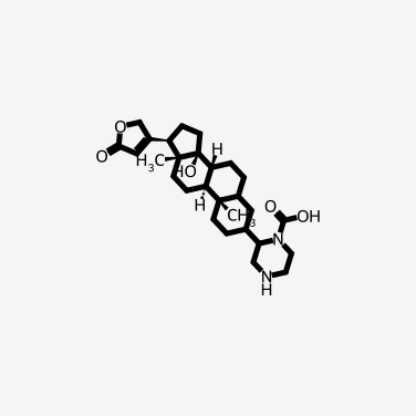 C[C@]12CCC(C3CNCCN3C(=O)O)CC1CC[C@@H]1[C@@H]2CC[C@]2(C)[C@@H](C3=CC(=O)OC3)CC[C@]12O